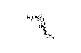 CCCCCC(=O)OCOC(=O)SCC